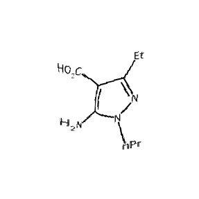 CCCn1nc(CC)c(C(=O)O)c1N